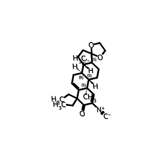 [C-]#[N+]C1=C[C@@]2(C)C(=CC[C@@H]3[C@@H]2CC[C@@]2(C)[C@H]3CCC23OCCO3)C(CC)(CC)C1=O